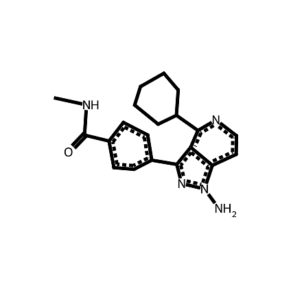 CNC(=O)c1ccc(-c2nn(N)c3ccnc(C4CCCCC4)c23)cc1